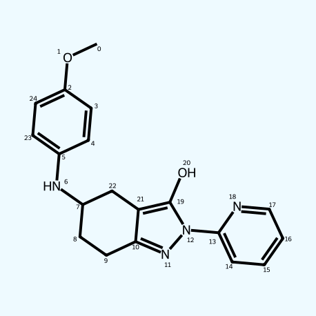 COc1ccc(NC2CCc3nn(-c4ccccn4)c(O)c3C2)cc1